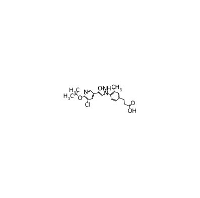 Cc1cc(CCC(=O)O)ccc1N1C=C(c2cnc(OC(C)C)c(Cl)c2)ON1